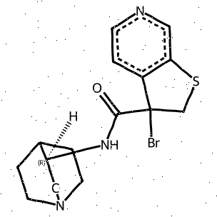 O=C(N[C@H]1CN2CCC1CC2)C1(Br)CSc2cnccc21